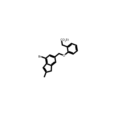 CCOC(=O)Cc1ccccc1OCc1cc(Br)c2c(c1)CC(C)=C2